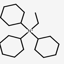 CC[N+](C1CCCCC1)(C1CCCCC1)C1CCCCC1